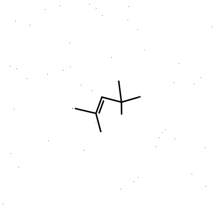 [CH2]/C(C)=C/C(C)(C)C